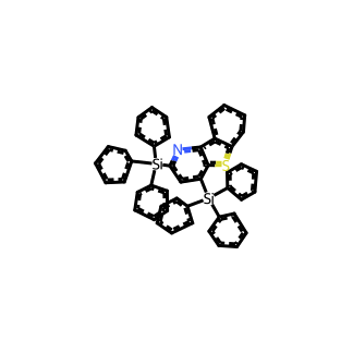 c1ccc([Si](c2ccccc2)(c2ccccc2)c2cc([Si](c3ccccc3)(c3ccccc3)c3ccccc3)c3sc4ccccc4c3n2)cc1